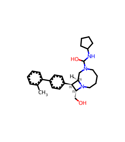 Cc1ccccc1-c1ccc([C@@H]2[C@@H](CO)N3CCCCN(C(O)NC4CCCC4)C[C@H]23)cc1